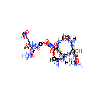 C=C(NC(=O)c1csc(-c2nc3c(cc2O)-c2nc(cs2)C(=O)N[C@@H]([C@@H](C)O)C(=O)N/C(=C\C)c2nc(cs2)C(=O)N[C@H]2C[C@H](OC(=O)N4CCN(C(=O)OCc5ccc(NC(=O)[C@H](CCCNC(N)=O)NC(=O)[C@@H](NC(=O)CCCCCN6C(=O)C=CC6=O)C(C)C)cc5)CC4)C(=O)OCc4cccc5[nH]c(c(C)c45)C(=O)SC[C@H](NC(=O)c4csc2n4)c2nc-3cs2)n1)C(N)=O